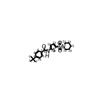 CC(C)(C)c1ccc(C(=O)Nc2ccc(S(=O)(=O)N3CCCCC3)s2)cc1